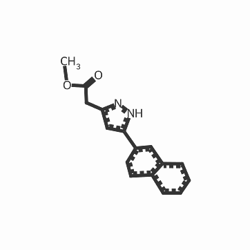 COC(=O)Cc1cc(-c2ccc3ccccc3c2)[nH]n1